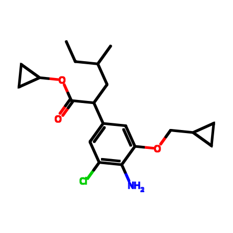 CCC(C)CC(C(=O)OC1CC1)c1cc(Cl)c(N)c(OCC2CC2)c1